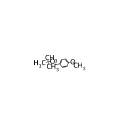 COc1ccc(COC(C)(C)C)cc1